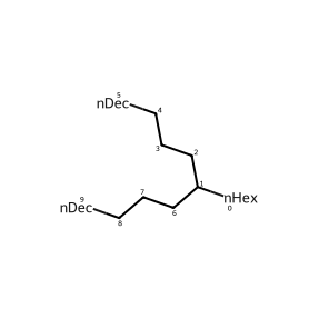 [CH2]CCCCCC(CCCCCCCCCCCCC)CCCCCCCCCCCCC